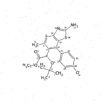 COC(=O)C(OC(C)(C)C)c1c(C)cc2nc(N)sc2c1-c1ccc(Cl)cc1